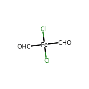 O=[CH][Fe]([Cl])([Cl])[CH]=O